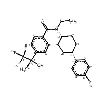 CCN(C(=O)c1ccc([C@](C)(O)C(F)(F)F)cc1)[C@H]1CC[C@@H](c2ccc(F)cc2)CC1